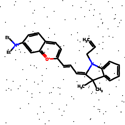 C=CCN1/C(=C\C=C\c2ccc3ccc(N(CC)CC)cc3[o+]2)C(C)(C)c2ccccc21